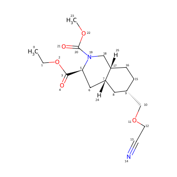 CCOC(=O)[C@@H]1C[C@H]2C[C@@H](COCC#N)CC[C@H]2CN1C(=O)OC